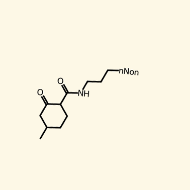 CCCCCCCCCCCCNC(=O)C1CCC(C)CC1=O